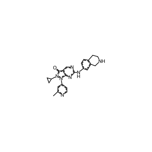 Cc1cc(-n2c3nc(Nc4ccc5c(c4)CNCC5)ncc3c(=O)n2C2CC2)ccn1